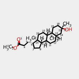 COC(=O)CC[C@H]1CC[C@H]2[C@@H]3CC[C@H]4C[C@@](C)(O)CC[C@]4(C)[C@H]3CC[C@]12C